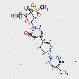 Cc1cnc(N2CC=C(c3ccn(CC[C@](C)(C(=O)NO)S(C)(=O)=O)c(=O)c3)CC2)nc1